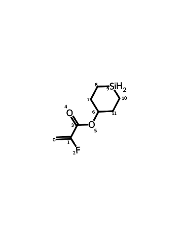 C=C(F)C(=O)OC1CC[SiH2]CC1